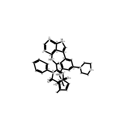 Cc1ccn2nc(C(C)Nc3ncnc4[nH]cc(-c5cc(NS(C)(=O)=O)cc(N6CCOCC6)c5)c34)n(-c3ccccc3)c(=O)c12